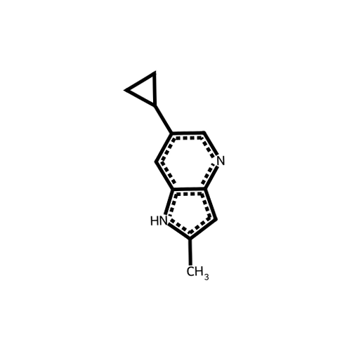 Cc1cc2ncc(C3CC3)cc2[nH]1